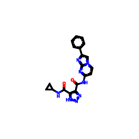 O=C(Nc1ccn2cc(-c3ccccc3)nc2n1)c1nn[nH]c1C(=O)NC1CC1